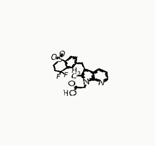 Cc1c(Cc2ccc3c(c2)C(F)(F)CCS3(=O)=O)c2cccnc2n1CC(=O)O